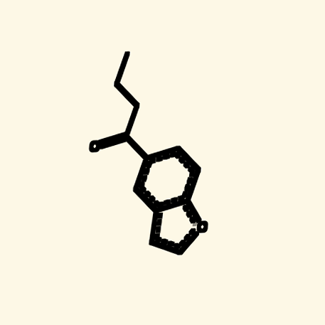 CCCC(=O)c1ccc2occc2c1